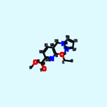 CCOc1nc(C(=O)OC)ccc1Cn1cccn1